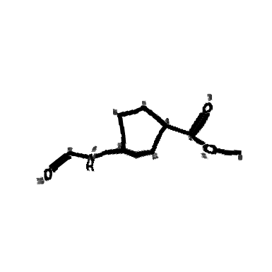 COC(=O)C1CCC(NC=O)C1